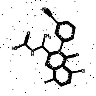 CC(NC(=O)O)c1nc2c(F)ccc(Cl)c2c(=O)n1-c1cccc(C#N)c1